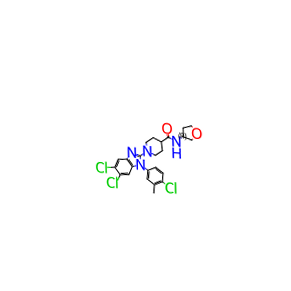 Cc1cc(-n2c(N3CCC(C(=O)N[C@@H]4CCOC4)CC3)nc3cc(Cl)c(Cl)cc32)ccc1Cl